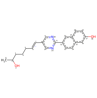 CC(O)CCC/C=C/c1cnc(-c2ccc3cc(O)ccc3c2)nc1